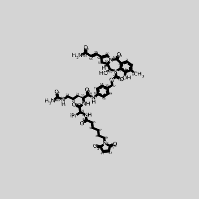 Cc1ccc2c(c1O)N(C(=O)OCc1ccc(NC(=O)[C@H](CCCNC(N)=O)NC(=O)C(NC(=O)CCCCCN3C(=O)C=CC3=O)C(C)C)cc1)[C@@H](O)[C@@H]1CC(/C=C/C(N)=O)=CN1C2=O